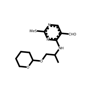 CSc1ncc(C=O)c(NC(C)COC2CCCCO2)n1